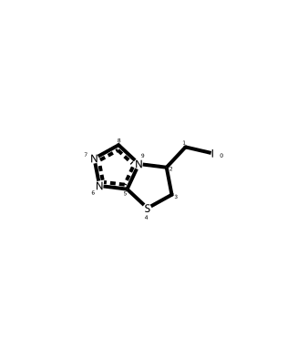 ICC1CSc2nncn21